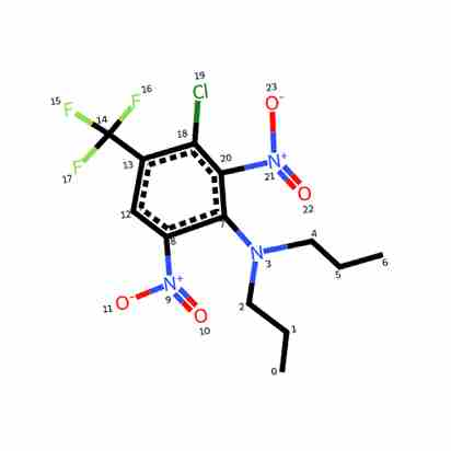 CCCN(CCC)c1c([N+](=O)[O-])cc(C(F)(F)F)c(Cl)c1[N+](=O)[O-]